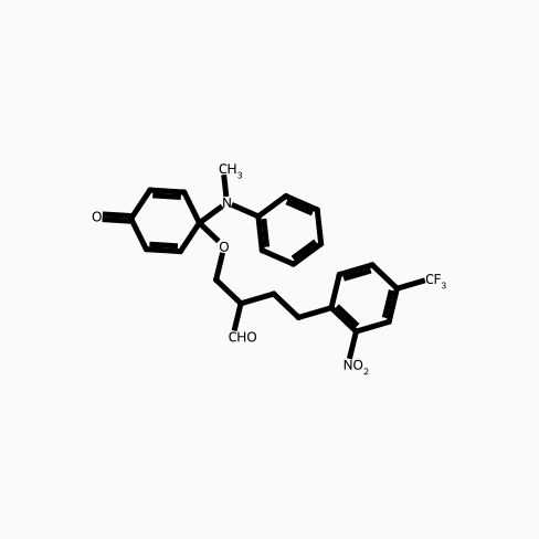 CN(c1ccccc1)C1(OCC(C=O)CCc2ccc(C(F)(F)F)cc2[N+](=O)[O-])C=CC(=O)C=C1